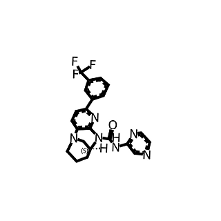 O=C(Nc1cnccn1)N1c2nc(-c3cccc(C(F)(F)F)c3)ccc2N2CCC[C@H]1C2